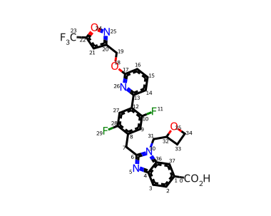 O=C(O)c1ccc2nc(Cc3cc(F)c(-c4cccc(OCc5cc(C(F)(F)F)on5)n4)cc3F)n(CC3CCO3)c2c1